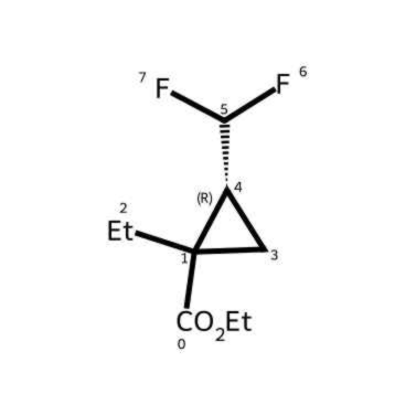 CCOC(=O)C1(CC)C[C@H]1C(F)F